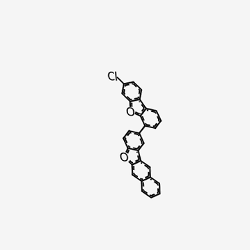 Clc1ccc2c(c1)oc1c(-c3ccc4oc5cc6ccccc6cc5c4c3)cccc12